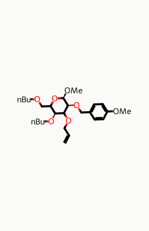 C=CCOC1[C@@H](OCCCC)C(COCCCC)O[C@@H](OC)[C@H]1OCc1ccc(OC)cc1